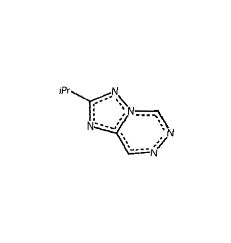 CC(C)c1nc2cnncn2n1